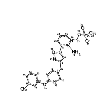 Nc1c(-c2cc(Cc3ccc(Oc4cccc(Cl)c4)nc3)no2)ccc[n+]1COP(=O)([O-])O